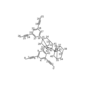 CC#Cc1cc(C#CC)cc(C23CC4CC(c5cc(C#CC)cc(C#CC)c5)(C2)CC(C25CC6CC(CC(C6)C2)C5)(C4)C3)c1